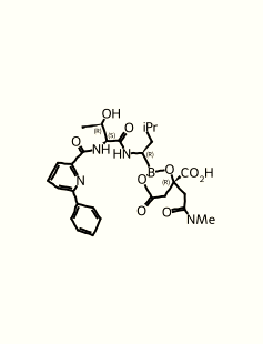 CNC(=O)C[C@]1(C(=O)O)CC(=O)OB([C@H](CC(C)C)NC(=O)[C@@H](NC(=O)c2cccc(-c3ccccc3)n2)[C@@H](C)O)O1